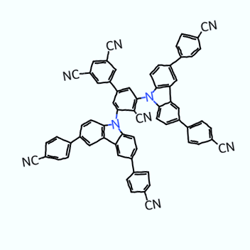 N#Cc1ccc(-c2ccc3c(c2)c2cc(-c4ccc(C#N)cc4)ccc2n3-c2cc(-c3cc(C#N)cc(C#N)c3)cc(-n3c4ccc(-c5ccc(C#N)cc5)cc4c4cc(-c5ccc(C#N)cc5)ccc43)c2C#N)cc1